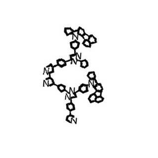 c1ccc(-c2nc(-c3ccc(-c4ccnc(-c5cncc(-c6ccc(-c7nc(-c8ccc(-c9cccnc9)cc8)cc(-c8ccc(-n9c%10ccccc%10c%10ccc%11c(c%109)-c9cccc%10cccc-%11c9%10)cc8)n7)cc6)c5)c4)cc3)cc(-c3ccc(-n4c5ccccc5c5ccc6c(c54)-c4cccc5cccc-6c45)cc3)n2)cc1